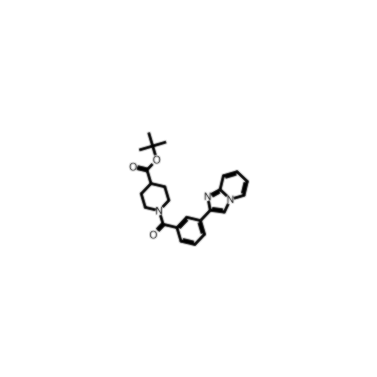 CC(C)(C)OC(=O)C1CCN(C(=O)c2cccc(-c3cn4ccccc4n3)c2)CC1